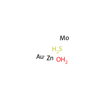 O.S.[Au].[Mo].[Zn]